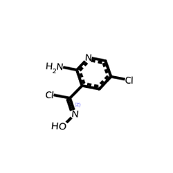 Nc1ncc(Cl)cc1/C(Cl)=N/O